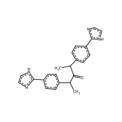 CC(C(=O)C(C)c1ccc(-c2ncc[nH]2)cc1)c1ccc(-c2ncc[nH]2)cc1